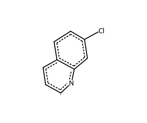 Clc1ccc2cc[c]nc2c1